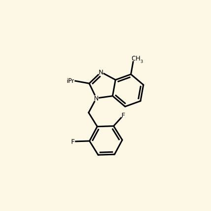 Cc1cccc2c1nc(C(C)C)n2Cc1c(F)cccc1F